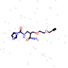 C#CCOCCOCC(CNC(=O)n1ccnc1)C(N)=O